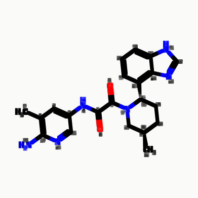 Cc1cc(NC(=O)C(=O)N2C[C@H](C)CC[C@H]2c2cccc3[nH]cnc23)cnc1N